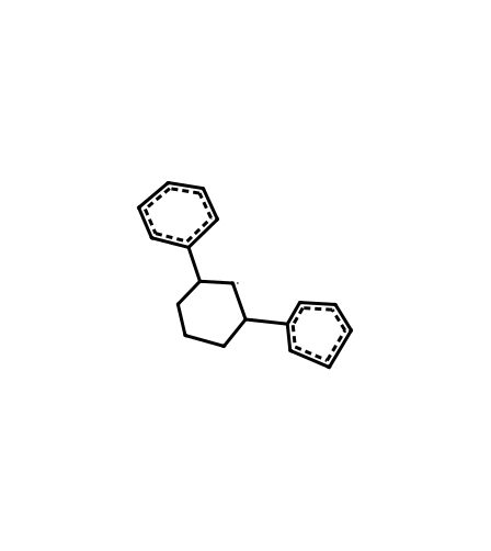 [CH]1C(c2ccccc2)CCCC1c1ccccc1